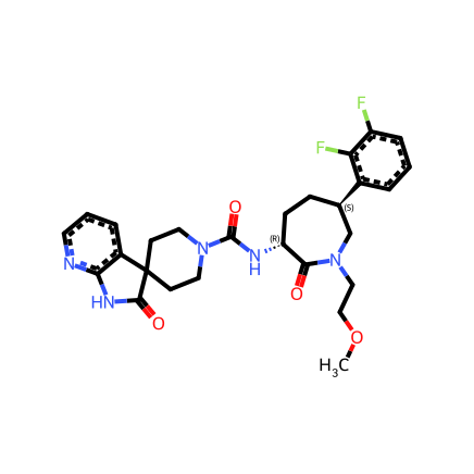 COCCN1C[C@H](c2cccc(F)c2F)CC[C@@H](NC(=O)N2CCC3(CC2)C(=O)Nc2ncccc23)C1=O